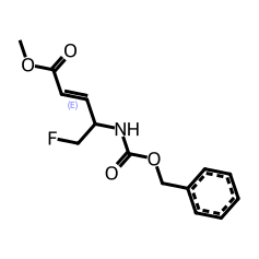 COC(=O)/C=C/C(CF)NC(=O)OCc1ccccc1